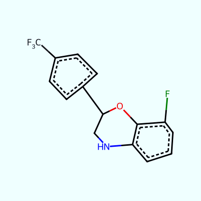 Fc1cccc2c1OC(c1ccc(C(F)(F)F)cc1)CN2